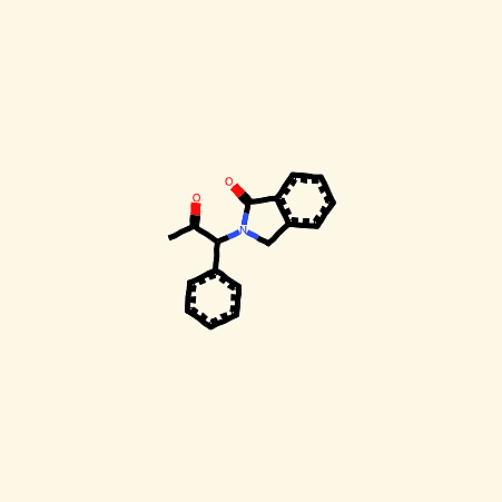 CC(=O)C(c1ccccc1)N1Cc2ccccc2C1=O